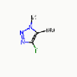 CCn1nnc(F)c1C(C)(C)C